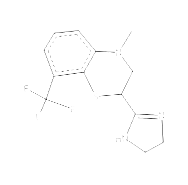 CN1CC(C2=NCCN2)Sc2c1cccc2C(F)(F)F